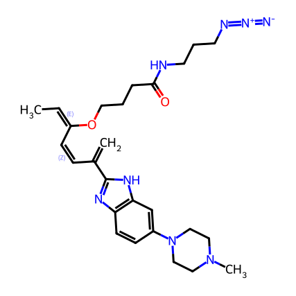 C=C(/C=C\C(=C/C)OCCCC(=O)NCCCN=[N+]=[N-])c1nc2ccc(N3CCN(C)CC3)cc2[nH]1